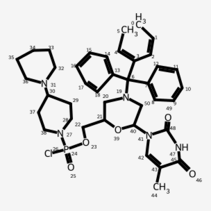 C/C=C\C(=C/C)C(c1ccccc1)(c1ccccc1)N1CC(COP(=O)(Cl)N2CCC(N3CCCCC3)CC2)OC(n2cc(C)c(=O)[nH]c2=O)C1